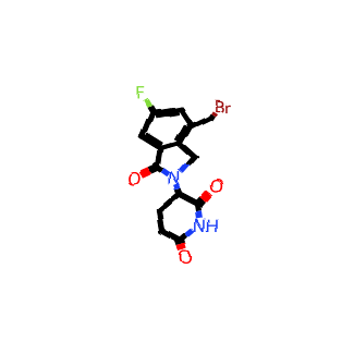 O=C1CCC(N2Cc3c(CBr)cc(F)cc3C2=O)C(=O)N1